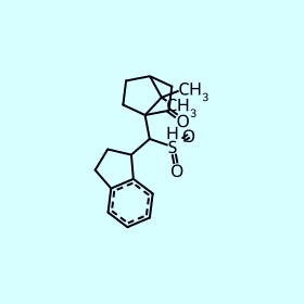 CC1(C)C2CCC1(C(C1CCc3ccccc31)[SH](=O)=O)C(=O)C2